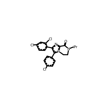 CC(C)N1CCn2c(nc(-c3ccc(Cl)cc3Cl)c2-c2ccc(Cl)cc2)C1=O